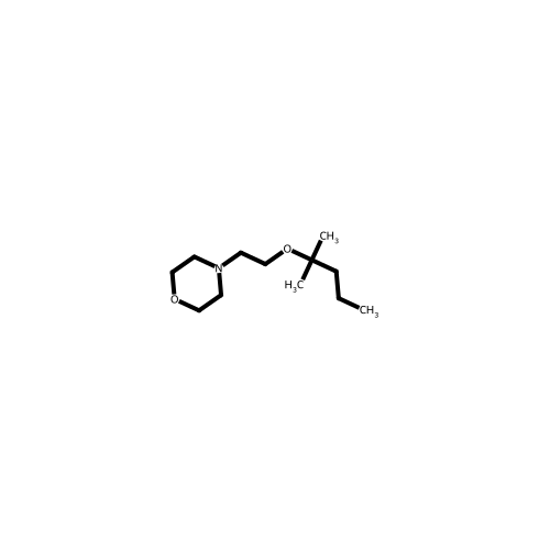 CCCC(C)(C)OCCN1CCOCC1